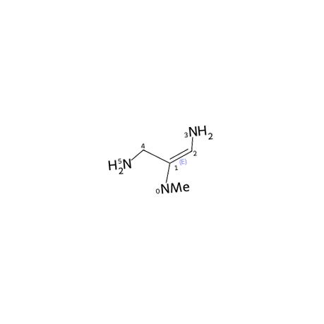 CN/C(=C/N)CN